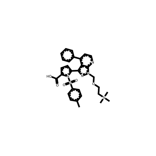 Cc1ccc(S(=O)(=O)n2c(C(=O)O)ccc2-c2nn(COCC[Si](C)(C)C)c3nccc(-c4ccccc4)c23)cc1